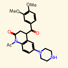 COc1ccc(C(=O)C2CC(=O)N(C(C)=O)c3ccc(N4CCNCC4)cc32)cc1OC